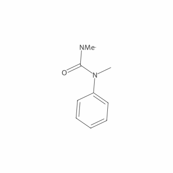 C[N]C(=O)N(C)c1ccccc1